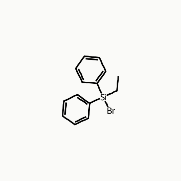 CC[Si](Br)(c1ccccc1)c1ccccc1